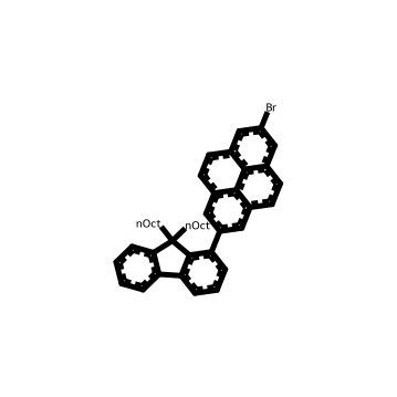 CCCCCCCCC1(CCCCCCCC)c2ccccc2-c2cccc(-c3cc4ccc5cc(Br)cc6ccc(c3)c4c56)c21